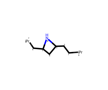 CC(C)CCC1CC(CC(C)C)N1